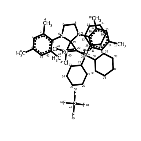 Cc1cc(C)c(N2CCN(c3c(C)cc(C)cc3C)[C]23[C]([PH](C2CCCCC2)(C2CCCCC2)C2CCCCC2)=[Ru]3([Cl])[Cl])c(C)c1.F[B-](F)(F)F